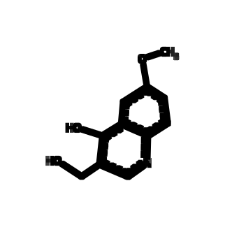 COc1ccc2ncc(CO)c(O)c2c1